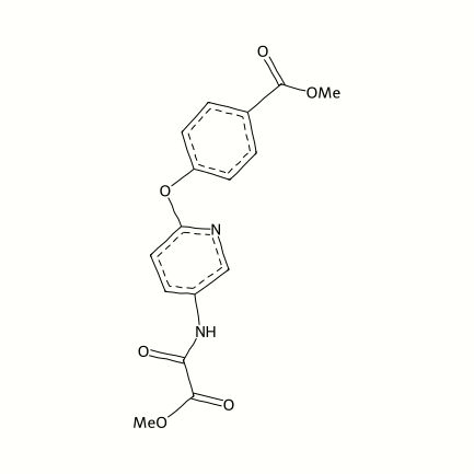 COC(=O)C(=O)Nc1ccc(Oc2ccc(C(=O)OC)cc2)nc1